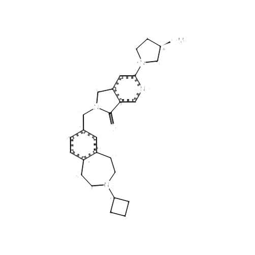 CO[C@@H]1CCN(c2cc3c(cn2)C(=O)N(Cc2ccc4c(c2)CCN(C2CCC2)CC4)C3)C1